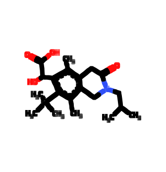 Cc1c2c(c(C)c([Si](C)(C)C)c1C(O)C(=O)O)CN(CC(C)C)C(=O)C2